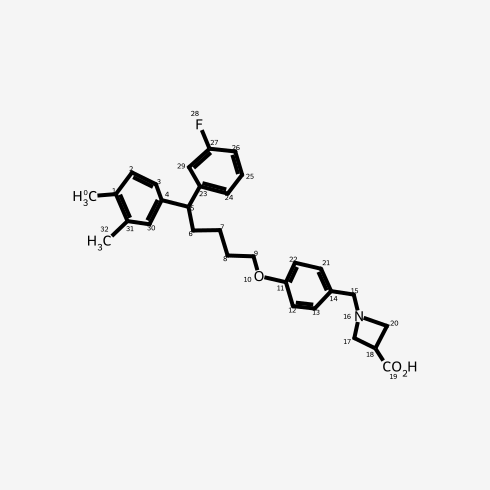 Cc1ccc(C(CCCCOc2ccc(CN3CC(C(=O)O)C3)cc2)c2cccc(F)c2)cc1C